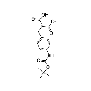 COC(=O)C(Cc1ccc(NC(=O)OC(C)(C)C)nc1)C(=O)O